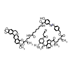 COc1ccc2cc3[n+](cc2c1OC(=O)N(C)CCNC(=O)CCCCCNC(=O)c1cc(/N=N/c2ccc(COC(=O)N(C)CCN(C)C(=O)n4ccc5c(N(C)[C@H]6CN(C(=O)CC#N)CC[C@H]6C)ncnc54)cc2)ccc1O)CCc1cc2c(cc1-3)OCO2